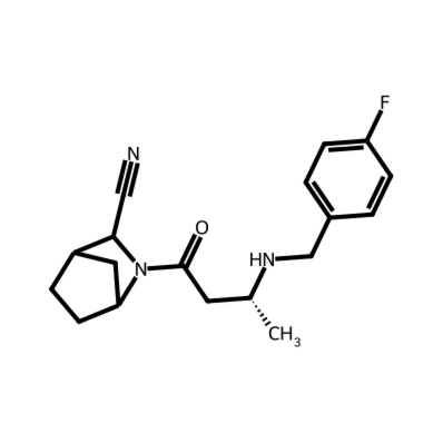 C[C@H](CC(=O)N1C2CCC(C2)C1C#N)NCc1ccc(F)cc1